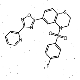 O=S(=O)(c1ccc(F)cc1)N1CCSc2ccc(-c3nc(-c4ccccn4)no3)cc21